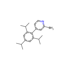 Bc1cc(-c2c(C(C)C)cc(C(C)C)cc2C(C)C)ccn1